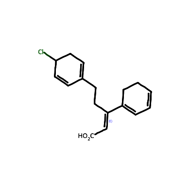 O=C(O)/C=C(\CCC1=CCC(Cl)C=C1)C1=CC=CCC1